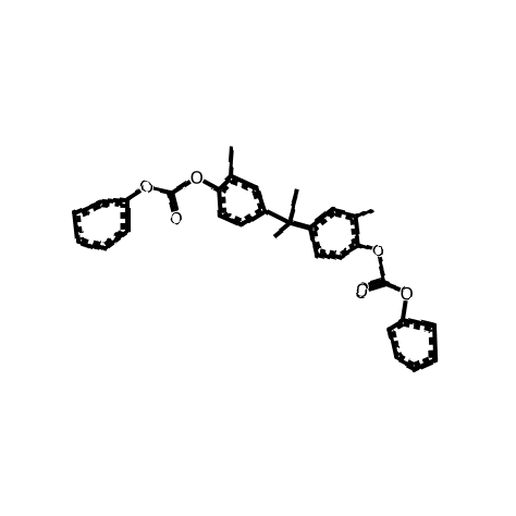 Cc1cc(C(C)(C)c2ccc(OC(=O)Oc3ccccc3)c(C)c2)ccc1OC(=O)Oc1ccccc1